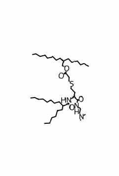 CCCCCCCCC(CCCCCC)COC(=O)CCSCCC(NC(=O)C(CCCCCC)CCCCCCCC)C(=O)NCCN(C)C